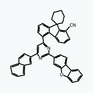 N#Cc1cccc2c1C1(CCCCC1)c1cccc(-c3cc(-c4ccc5ccccc5c4)nc(-c4ccc5c(c4)oc4ccccc45)n3)c1-2